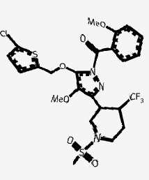 COc1ccccc1C(=O)n1nc(C2CN(S(C)(=O)=O)CCC2C(F)(F)F)c(OC)c1OCc1ccc(Cl)s1